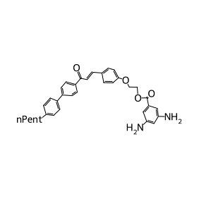 CCCCCc1ccc(-c2ccc(C(=O)C=Cc3ccc(OCCOC(=O)c4cc(N)cc(N)c4)cc3)cc2)cc1